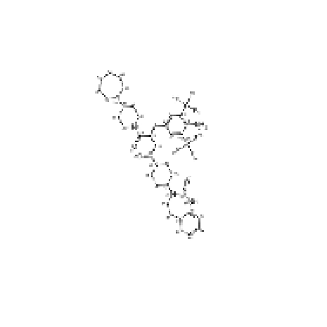 Nc1c(C(F)(F)F)cc(C[C@@H](CC(=O)N2CCC(N3CCc4ccccc4NC3=O)CC2)C(=O)N2CCC(N3CCCCCC3)CC2)cc1C(F)(F)F